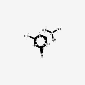 NP(O)O.Nc1nc[nH]c(=O)n1